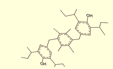 CCC(C)c1cc(Cc2c(C)c(C)c(Cc3cc(C(C)CC)c(O)c(C(C)CC)c3)c(C)c2C)cc(C(C)CC)c1O